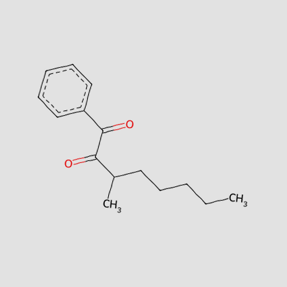 CCCCCC(C)C(=O)C(=O)c1ccccc1